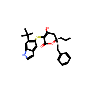 CCC[C@]1(CCc2ccccc2)CC(O)=C(Sc2cc3cc[nH]c3cc2C(C)(C)C)C(=O)O1